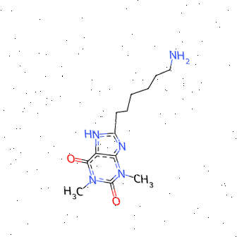 Cn1c(=O)c2[nH]c(CCCCCCN)nc2n(C)c1=O